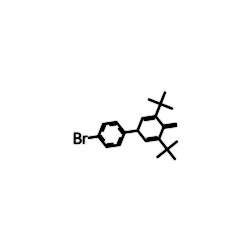 C=C1C(C(C)(C)C)=CC(c2ccc(Br)cc2)C=C1C(C)(C)C